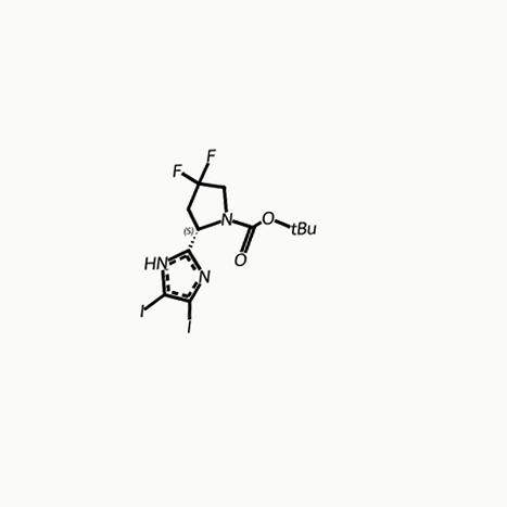 CC(C)(C)OC(=O)N1CC(F)(F)C[C@H]1c1nc(I)c(I)[nH]1